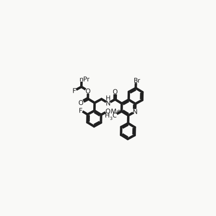 CCCC(F)OC(=O)C(CNC(=O)c1c(C)c(-c2ccccc2)nc2ccc(Br)cc12)c1c(F)cccc1OC